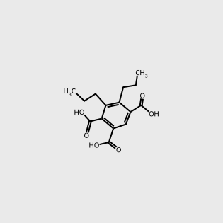 CCCc1c(C(=O)O)cc(C(=O)O)c(C(=O)O)c1CCC